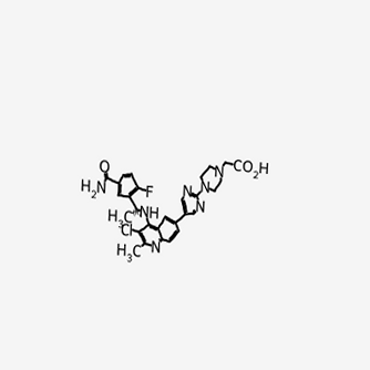 Cc1nc2ccc(-c3cnc(N4CCN(CC(=O)O)CC4)nc3)cc2c(N[C@H](C)c2cc(C(N)=O)ccc2F)c1Cl